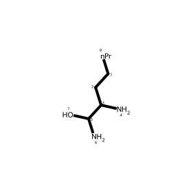 CCCCCC(N)C(N)O